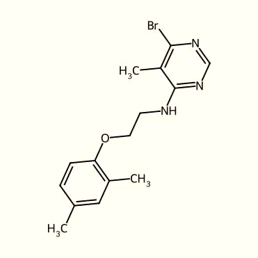 Cc1ccc(OCCNc2ncnc(Br)c2C)c(C)c1